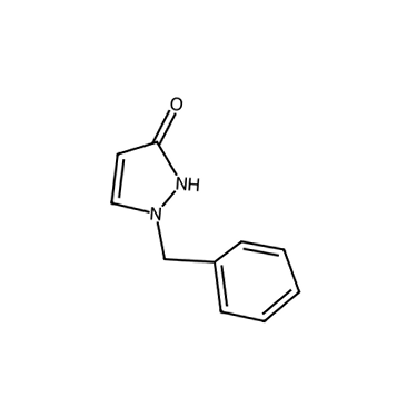 O=c1ccn(Cc2ccccc2)[nH]1